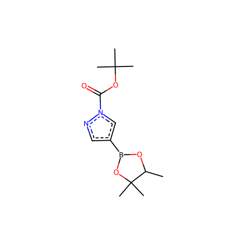 CC1OB(c2cnn(C(=O)OC(C)(C)C)c2)OC1(C)C